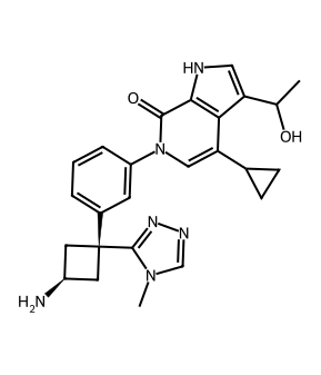 CC(O)c1c[nH]c2c(=O)n(-c3cccc([C@]4(c5nncn5C)C[C@H](N)C4)c3)cc(C3CC3)c12